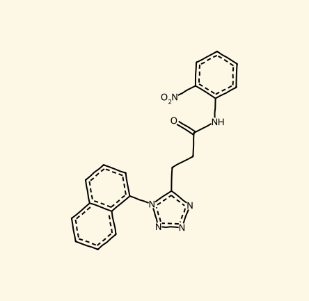 O=C(CCc1nnnn1-c1cccc2ccccc12)Nc1ccccc1[N+](=O)[O-]